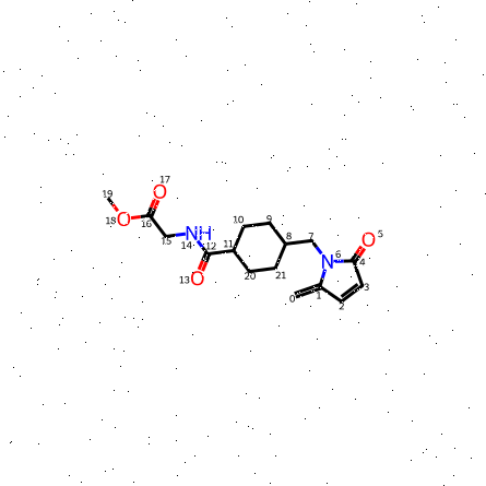 C=C1C=CC(=O)N1CC1CCC(C(=O)NCC(=O)OC)CC1